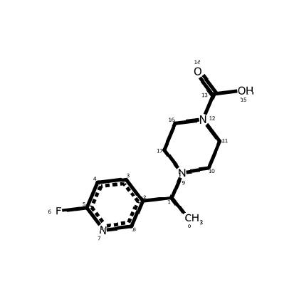 CC(c1ccc(F)nc1)N1CCN(C(=O)O)CC1